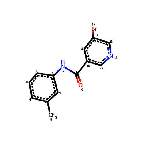 O=C(Nc1cccc(C(F)(F)F)c1)c1cncc(Br)c1